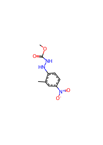 COC(=O)NNc1ccc([N+](=O)[O-])cc1C